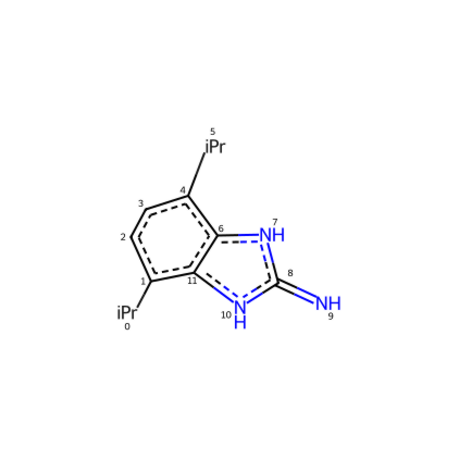 CC(C)c1ccc(C(C)C)c2[nH]c(=N)[nH]c12